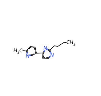 CCCCc1nccc(-c2ccc(C)nc2)n1